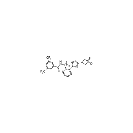 CC(NC(=O)c1cc(C(F)(F)F)cc(C(F)(F)F)c1)c1nccnc1-c1ncn(C2CS(=O)(=O)C2)n1